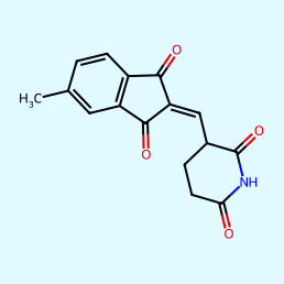 Cc1ccc2c(c1)C(=O)/C(=C\C1CCC(=O)NC1=O)C2=O